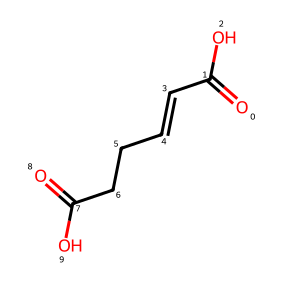 O=C(O)C=CCCC(=O)O